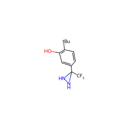 CC(C)(C)c1ccc(C2(C(F)(F)F)NN2)cc1O